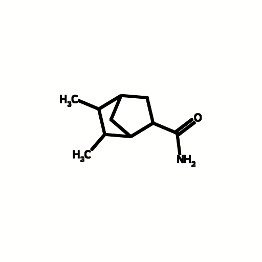 CC1C2CC(C(N)=O)C(C2)C1C